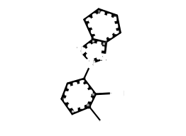 CCCCc1cccc(-n2nc3ccccc3n2)c1O